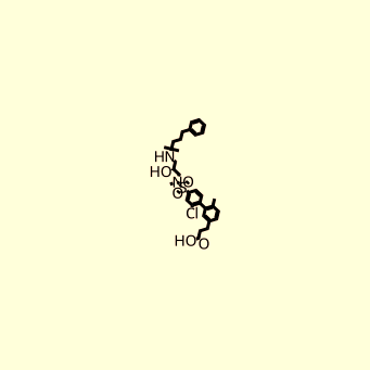 Cc1ccc(CCC(=O)O)cc1-c1ccc(S(=O)(=O)N(C)C[C@H](O)CNC(C)(C)CCCc2ccccc2)cc1Cl